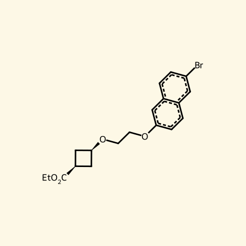 CCOC(=O)[C@H]1C[C@@H](OCCOc2ccc3cc(Br)ccc3c2)C1